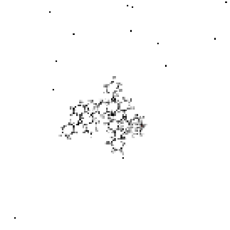 c1ccc(N2c3ccccc3B3c4cc5c(cc4Sc4cccc2c43)N(c2ccccc2)c2cccc3c2B5c2ccc4c5ccccc5n(-c5ccccc5)c4c2N3c2ccccc2)cc1